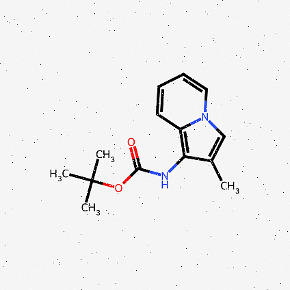 Cc1cn2ccccc2c1NC(=O)OC(C)(C)C